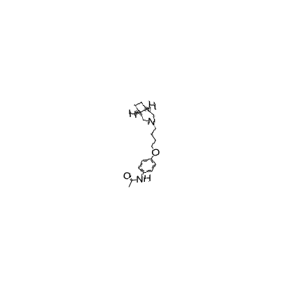 CC(=O)Nc1ccc(OCCCCN2C[C@H]3CC[C@H]3C2)cc1